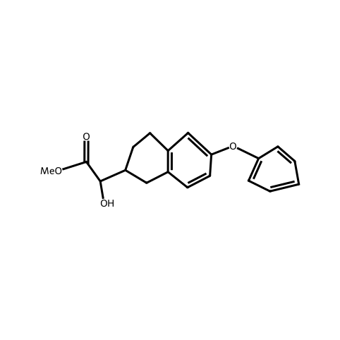 COC(=O)C(O)C1CCc2cc(Oc3ccccc3)ccc2C1